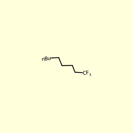 C[CH]CCCCCCC(F)(F)F